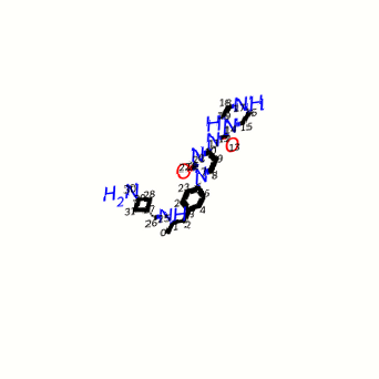 CC(Cc1ccc(-n2ccc(NC(=O)N3CCNCC3)nc2=O)cc1)NC[C@H]1C[C@@H](N)C1